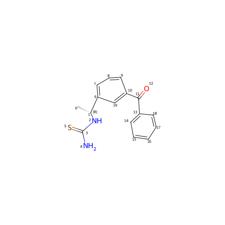 C[C@@H](NC(N)=S)c1cccc(C(=O)c2ccccc2)c1